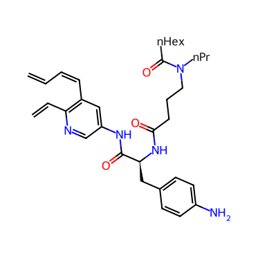 C=C/C=C\c1cc(NC(=O)[C@H](Cc2ccc(N)cc2)NC(=O)CCCN(CCC)C(=O)CCCCCC)cnc1C=C